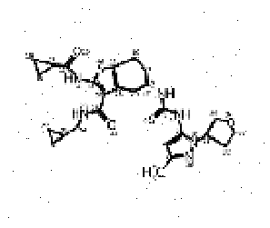 Cc1cc(NC(=S)N[C@H]2CCc3sc(NC(=O)C4CC4)c(C(=O)NCC4CC4)c3C2)n(C2CCOC2)n1